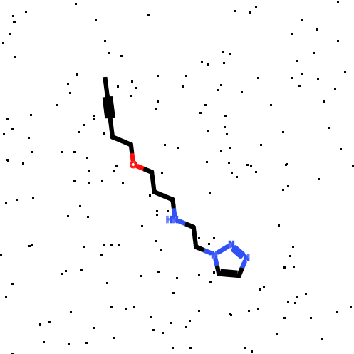 CC#CCCOCCCNCCn1ccnn1